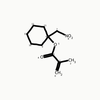 C=C(C)C(=O)OC1(C[N+](=O)[O-])CCCCC1